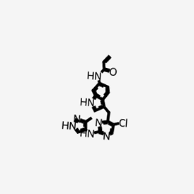 C=CC(=O)Nc1ccc2c(Cc3nc(Nc4c[nH]nc4C)ncc3Cl)c[nH]c2c1